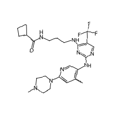 Cc1cc(N2CCN(C)CC2)ncc1Nc1ncc(C(F)(F)F)c(NCCCNC(=O)C2CCC2)n1